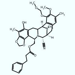 COCOc1c(OC)c(C)cc2c1[C@@H]1C3Cc4c(O)c(C)c5c(c4[C@H](COC(=O)CCc4ccccc4)N3[C@@H](C#N)[C@H](C2)N1C)OCO5